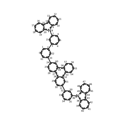 c1cc(-c2cccc(-n3c4ccccc4c4ccccc43)c2)cc(-c2ccc3c4ccc(-c5cccc(-n6c7ccccc7c7ccccc76)c5)cc4c4ccccc4c3c2)c1